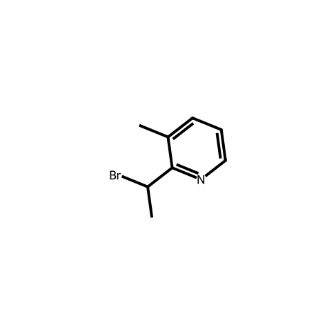 Cc1cccnc1C(C)Br